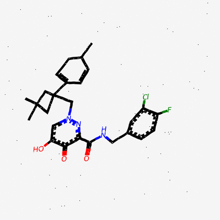 CC1C=CC(C2(Cn3cc(O)c(=O)c(C(=O)NCc4ccc(F)c(Cl)c4)n3)CC(C)(C)C2)=CC1